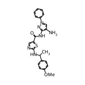 COc1ccc(C(C)Nc2ncc(C(=O)Nc3nn(-c4ccccc4)cc3N)s2)cc1